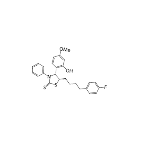 COc1ccc([C@@H]2[C@@H](CCCCc3ccc(F)cc3)SC(=S)N2c2ccccc2)c(O)c1